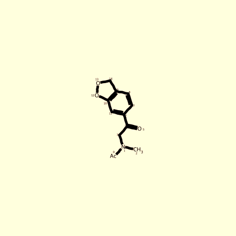 CC(=O)N(C)CC(=O)c1ccc2c(c1)OOC2